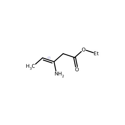 C/C=C(\N)CC(=O)OCC